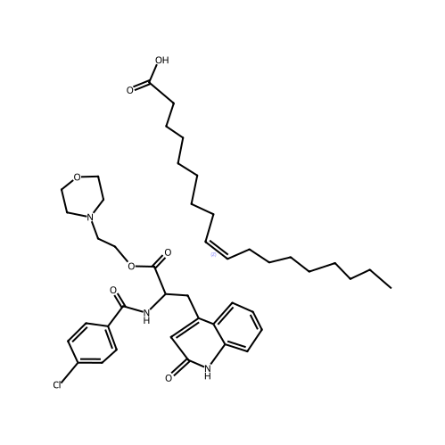 CCCCCCCC/C=C\CCCCCCCC(=O)O.O=C(NC(Cc1cc(=O)[nH]c2ccccc12)C(=O)OCCN1CCOCC1)c1ccc(Cl)cc1